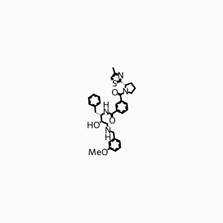 COc1cccc(CNC[C@@H](O)[C@H](Cc2ccccc2)NC(=O)c2cccc(C(=O)N3CCC[C@H]3c3nc(C)cs3)c2)c1